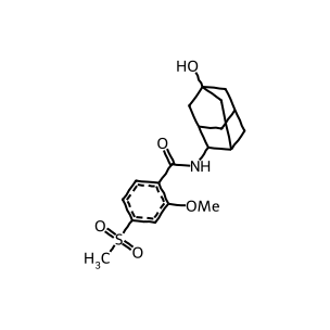 COc1cc(S(C)(=O)=O)ccc1C(=O)NC1C2CC3CC1CC(O)(C3)C2